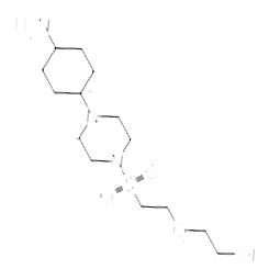 NC1CCC(N2CCN(S(=O)(=O)CCOCCO)CC2)CC1